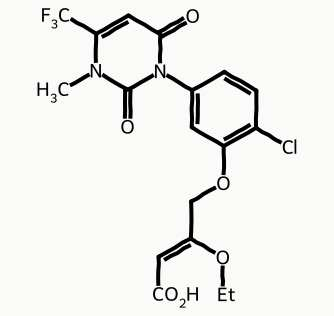 CCOC(=CC(=O)O)COc1cc(-n2c(=O)cc(C(F)(F)F)n(C)c2=O)ccc1Cl